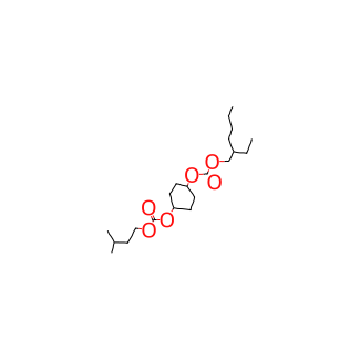 CCCCC(CC)COC(=O)OC1CCC(OC(=O)OCCC(C)C)CC1